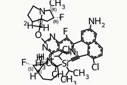 [2H]C([2H])(Oc1nc(N2CCCC[C@H]3[C@H](F)[C@H]32)c2cnc(-c3cc(N)cc4ccc(Cl)c(C#C[Si](C(C)C)(C(C)C)C(C)C)c34)c(F)c2n1)[C@@]12CCCN1[C@H](C)[C@H](F)C2